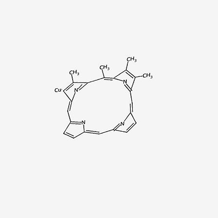 CC1=CC2=CC3=NC(=CC4=NC(=CC5=NC(=C(C)C1=N2)C(C)=C5C)C=C4)C=C3.[Cu]